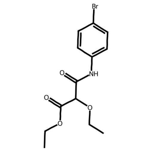 CCOC(=O)C(OCC)C(=O)Nc1ccc(Br)cc1